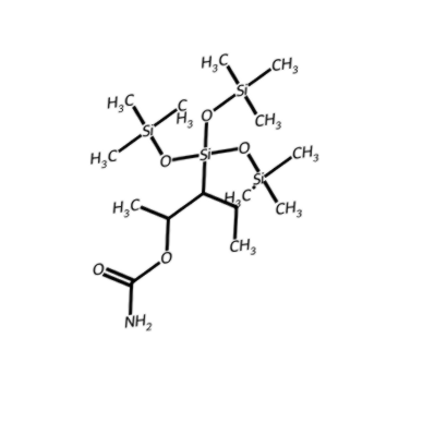 CCC(C(C)OC(N)=O)[Si](O[Si](C)(C)C)(O[Si](C)(C)C)O[Si](C)(C)C